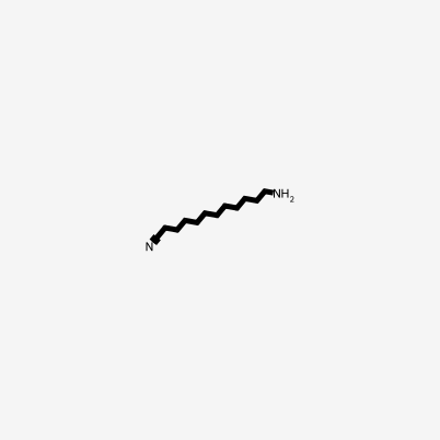 N#CCCCCCCCCCCCN